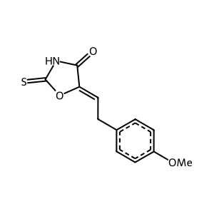 COc1ccc(CC=C2OC(=S)NC2=O)cc1